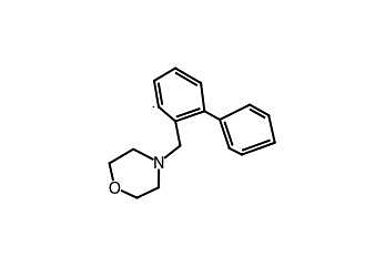 [c]1cccc(-c2ccccc2)c1CN1CCOCC1